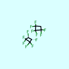 FC1(F)CC(F)(F)C1(F)F.F[C@H]1[C@H](F)C(F)(F)C1(F)F